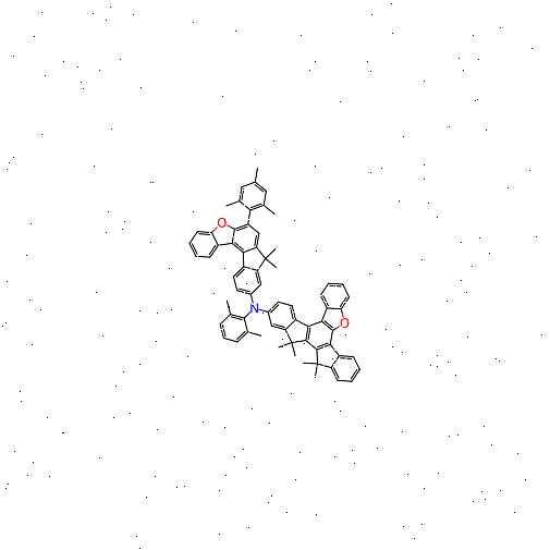 Cc1cc(C)c(-c2cc3c(c4c2oc2ccccc24)-c2ccc(N(c4ccc5c(c4)C(C)(C)c4c6c(c7oc8ccccc8c7c4-5)-c4ccccc4C6(C)C)c4c(C)cccc4C)cc2C3(C)C)c(C)c1